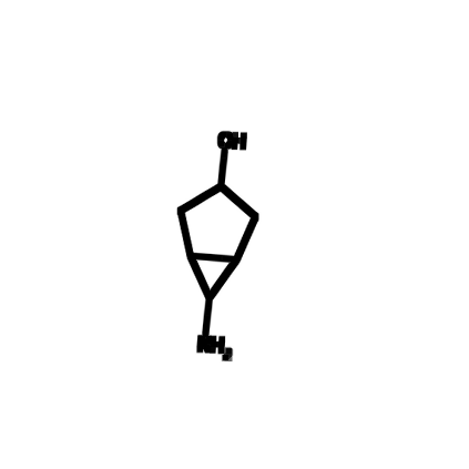 NC1C2CC(O)CC12